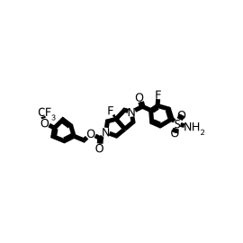 NS(=O)(=O)c1ccc(C(=O)N2CC3CN(C(=O)OCc4ccc(OC(F)(F)F)cc4)C[C@]3(F)C2)c(F)c1